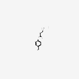 CCc1ccc(OC(=O)CCNC)cc1